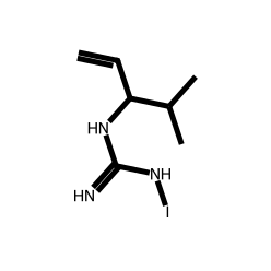 C=CC(NC(=N)NI)C(C)C